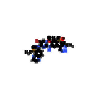 CN/C=C(\C=N)c1cc(Nc2ncc(Br)c(Nc3ccc4nccnc4c3P(C)C)n2)c(OC)cc1P(C)(C)=O